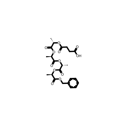 C[C@H](OC(=O)CCC(=O)O)C(=O)O[C@H](C)C(=O)O[C@H](C)C(=O)O[C@H](C)C(=O)OCc1ccccc1